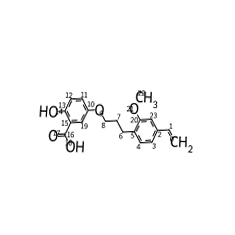 C=Cc1ccc(CCCOc2ccc(O)c(C(=O)O)c2)c(OC)c1